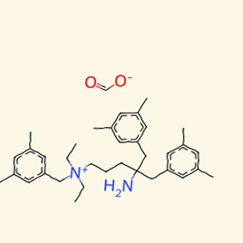 CC[N+](CC)(CCCC(N)(Cc1cc(C)cc(C)c1)Cc1cc(C)cc(C)c1)Cc1cc(C)cc(C)c1.O=C[O-]